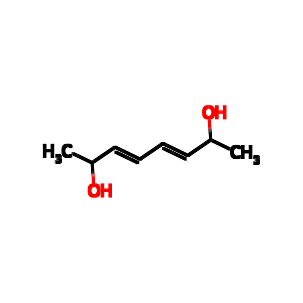 CC(O)/C=C/C=C/C(C)O